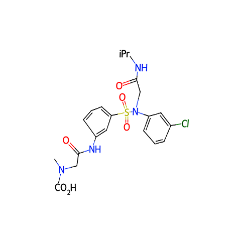 CC(C)NC(=O)CN(c1cccc(Cl)c1)S(=O)(=O)c1cccc(NC(=O)CN(C)C(=O)O)c1